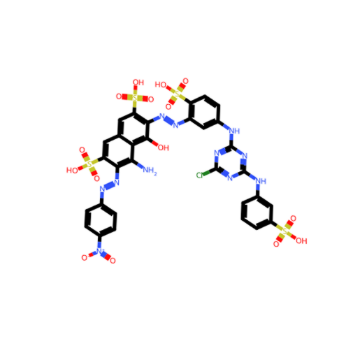 Nc1c(N=Nc2ccc([N+](=O)[O-])cc2)c(S(=O)(=O)O)cc2cc(S(=O)(=O)O)c(N=Nc3cc(Nc4nc(Cl)nc(Nc5cccc(S(=O)(=O)O)c5)n4)ccc3S(=O)(=O)O)c(O)c12